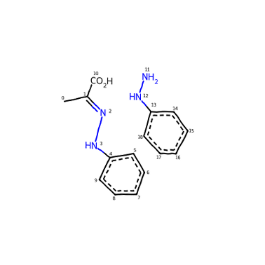 CC(=NNc1ccccc1)C(=O)O.NNc1ccccc1